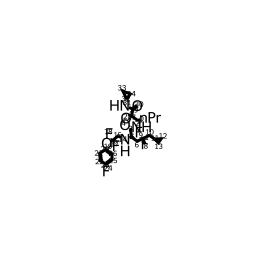 CCCC(NC(=O)C(CC(F)(F)CC1CC1)NCC(F)(F)Oc1ccc(F)cc1)C(=O)C(=O)NC1CC1